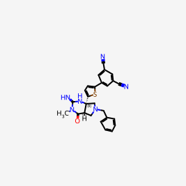 CN1C(=N)N[C@@]2(c3ccc(-c4cc(C#N)cc(C#N)c4)s3)CN(Cc3ccccc3)C[C@H]2C1=O